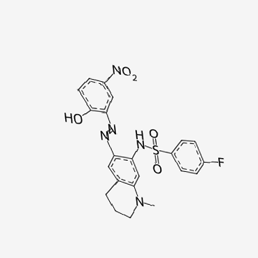 CN1CCCc2cc(N=Nc3cc([N+](=O)[O-])ccc3O)c(NS(=O)(=O)c3ccc(F)cc3)cc21